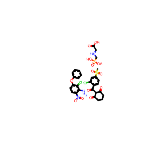 CS(=O)(=O)c1ccc(C(=O)C2C(=O)CCCC2=O)c(Cl)c1.Nc1c([N+](=O)[O-])ccc(Oc2ccccc2)c1Cl.O=C(O)CNCP(=O)(O)O